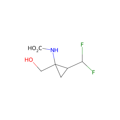 O=C(O)NC1(CO)CC1C(F)F